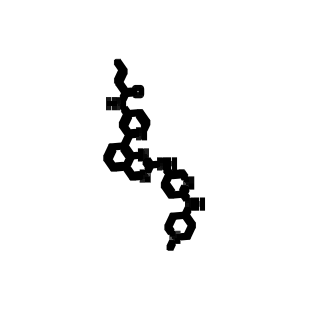 CC=CC(=O)Nc1ccnc(-c2cccc3cnc(Nc4ccc(NC5CCN(C)CC5)nc4)nc23)c1